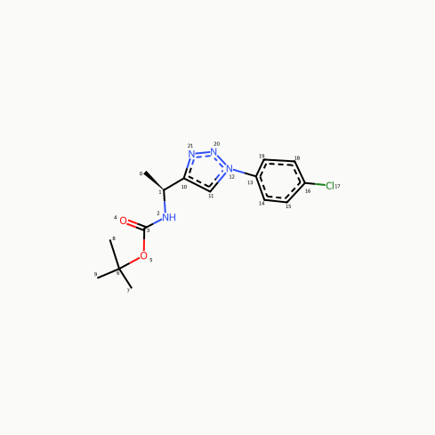 C[C@H](NC(=O)OC(C)(C)C)c1cn(-c2ccc(Cl)cc2)nn1